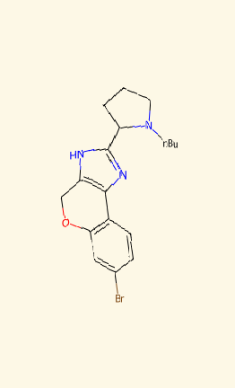 CCCCN1CCCC1c1nc2c([nH]1)COc1cc(Br)ccc1-2